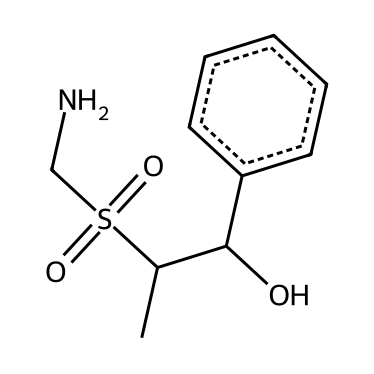 CC(C(O)c1ccccc1)S(=O)(=O)CN